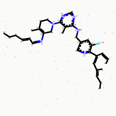 C\C=C/C(=C\C(C)=C\CC)c1ncc(CNc2ncnc(N3CCC(C)=C(/N=C\C=C\CCC)C3)c2C)cc1F